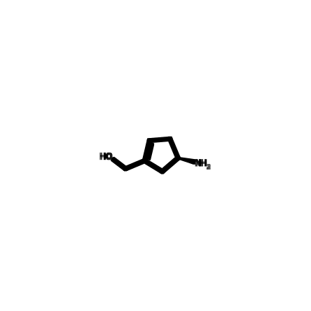 N[C@@H]1CC=C(CO)C1